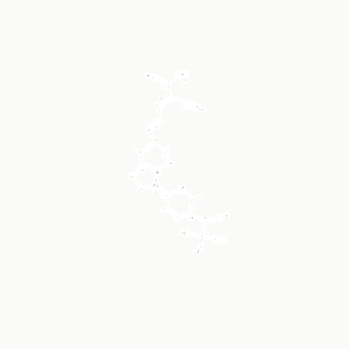 N#C/C(=C\C=C\c1ccc2c(c1)CCN2c1ccc(C(=O)C(F)(F)F)cc1)C(=O)O